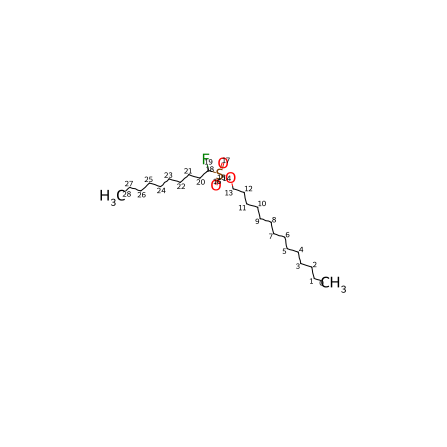 CCCCCCCCCCCCCCOS(=O)(=O)C(F)CCCCCCCCC